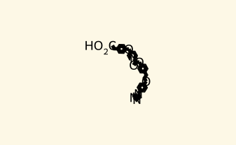 O=C(O)Cc1ccc(OC2CCN(C(=O)Oc3ccc(CCOc4ccc(-n5cnnc5)cc4)cc3)CC2)cc1